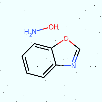 NO.c1ccc2ocnc2c1